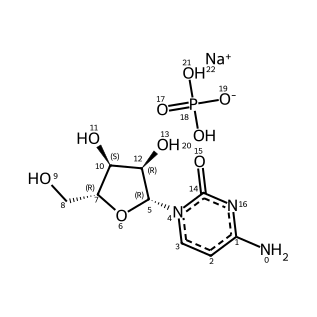 Nc1ccn([C@@H]2O[C@H](CO)[C@@H](O)[C@H]2O)c(=O)n1.O=P([O-])(O)O.[Na+]